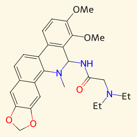 CCN(CC)CC(=O)NC1c2c(ccc(OC)c2OC)-c2ccc3cc4c(cc3c2N1C)OCO4